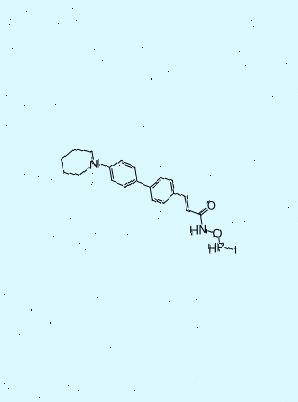 O=C(/C=C/c1ccc(-c2ccc(N3CCCCC3)cc2)cc1)NOPI